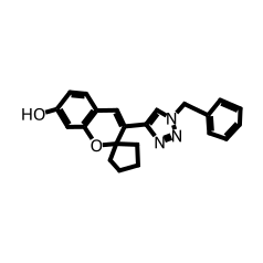 Oc1ccc2c(c1)OC1(CCCC1)C(c1cn(Cc3ccccc3)nn1)=C2